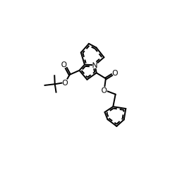 CC(C)(C)OC(=O)c1cc(C(=O)OCc2ccccc2)n2ccccc12